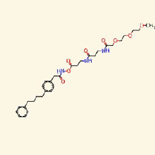 COCCOCCOCC(=O)NCCC(=O)NCCC(=O)ONC(=O)Cc1ccc(CCCCc2ccccc2)cc1